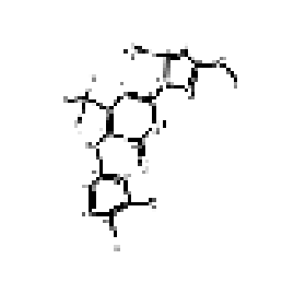 COc1nc(N)n(-c2nc(C(F)(F)F)c(Oc3ccc(Cl)c(Cl)c3)c(=O)[nH]2)n1